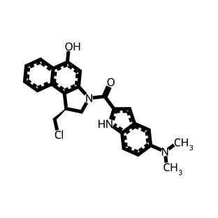 CN(C)c1ccc2[nH]c(C(=O)N3C[C@@H](CCl)c4c3cc(O)c3ccccc43)cc2c1